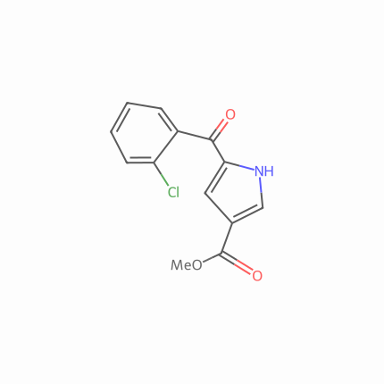 COC(=O)c1c[nH]c(C(=O)c2ccccc2Cl)c1